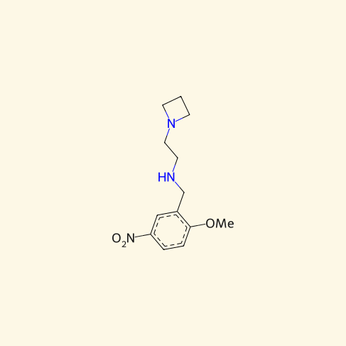 COc1ccc([N+](=O)[O-])cc1CNCCN1CCC1